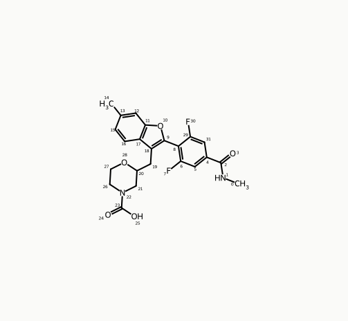 CNC(=O)c1cc(F)c(-c2oc3cc(C)ccc3c2CC2CN(C(=O)O)CCO2)c(F)c1